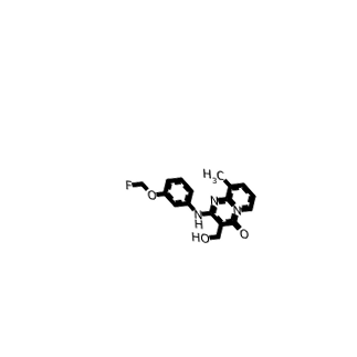 Cc1cccn2c(=O)c(CO)c(Nc3cccc(OCF)c3)nc12